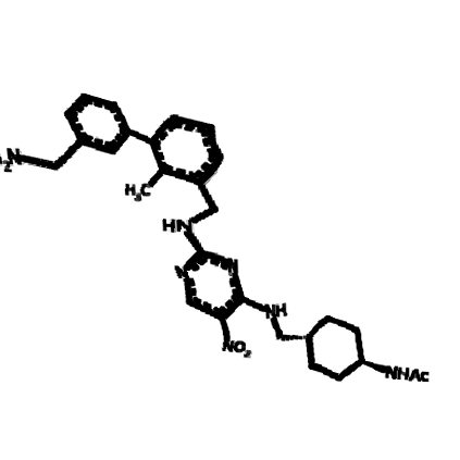 CC(=O)N[C@H]1CC[C@H](CNc2nc(NCc3cccc(-c4cccc(CN)c4)c3C)ncc2[N+](=O)[O-])CC1